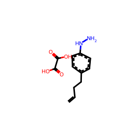 C=CCCc1ccc(NN)cc1.O=C(O)C(=O)O